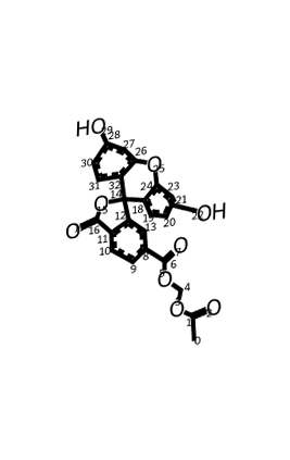 CC(=O)OCOC(=O)c1ccc2c(c1)C1(OC2=O)c2ccc(O)cc2Oc2cc(O)ccc21